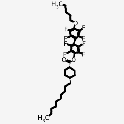 CCCCCCCCCC[C@H]1CC[C@H](C(=O)Oc2c(F)c(F)c(-c3c(F)c(F)c(OCCCCC)c(F)c3F)c(F)c2F)CC1